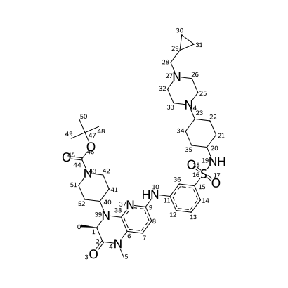 C[C@@H]1C(=O)N(C)c2ccc(Nc3cccc(S(=O)(=O)NC4CCC(N5CCN(CC6CC6)CC5)CC4)c3)nc2N1C1CCN(C(=O)OC(C)(C)C)CC1